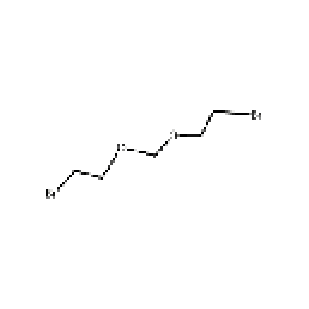 BrCCOCOCCBr